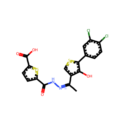 C/C(=N/NC(=O)c1ccc(C(=O)O)s1)c1csc(-c2ccc(Cl)c(Cl)c2)c1O